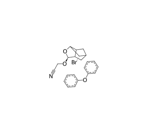 N#CCO[C@H]1OC2C3CC(CC31)[C@@H]2Br.c1ccc(Oc2ccccc2)cc1